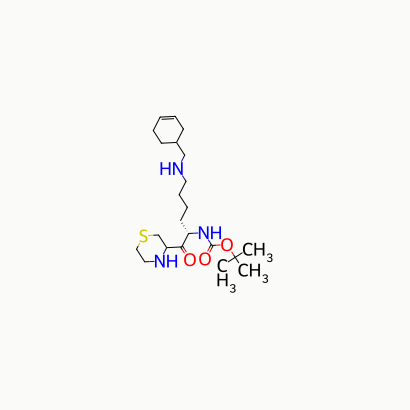 CC(C)(C)OC(=O)N[C@@H](CCCCNCC1CC=CCC1)C(=O)C1CSCCN1